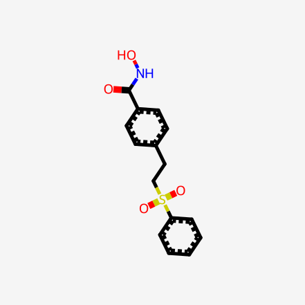 O=C(NO)c1ccc(CCS(=O)(=O)c2ccccc2)cc1